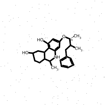 CC1Nc2cc(O[C@H](C)C(C)Cc3ccccc3)cc(O)c2C2CC(O)CCC12